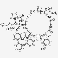 CC(C)C[C@H](NC(=O)c1ccc(-c2ccccc2)cc1)C(=O)N1CCC[C@H]1C(=O)N[C@H]1CSSC[C@@H](C)NC(=O)C([C@@H](C)O)NC(=O)CNC(=O)[C@H](Cc2ccc(O)cc2)NC(=O)[C@H](Cc2ccc(O)cc2)NC(=O)[C@H](CC(=O)O)NC1=O